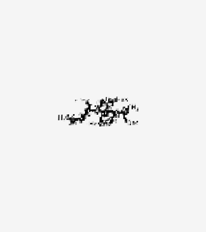 CCCCCCCCCCCCc1cc(C)sc1-c1nc(CCCCCCCCCCCC)c(C2=C3C(=O)N(CC(CCCCCC)CCCCCCCC)C(c4sc(-c5sc(-c6ccc(-c7ccc(C)s7)s6)cc5CCCCCCCCCCCC)nc4CCCCCCCCCCCC)=C3C(=O)N2CC(CCCCCC)CCCCCCCC)s1